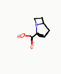 O=C(O)C1=CCC2CCN12